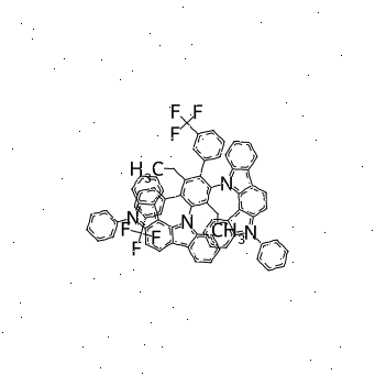 CCc1c(-c2cccc(C(F)(F)F)c2)c(-n2c3ccccc3c3ccc4c(c5ccccc5n4-c4ccccc4)c32)c(CC)c(-n2c3ccccc3c3ccc4c(c5ccccc5n4-c4ccccc4)c32)c1-c1cccc(C(F)(F)F)c1